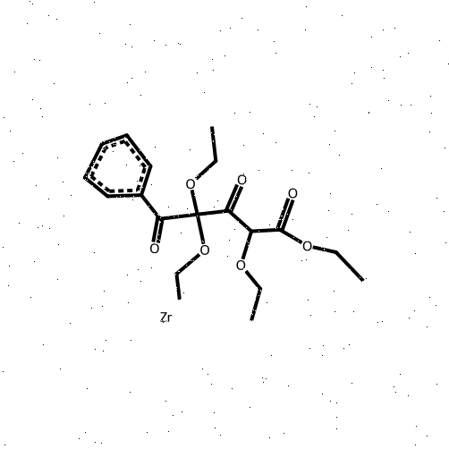 CCOC(=O)C(OCC)C(=O)C(OCC)(OCC)C(=O)c1ccccc1.[Zr]